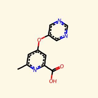 Cc1cc(Oc2cncnc2)cc(C(=O)O)n1